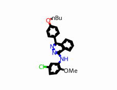 CCCCOc1ccc(-c2nnc(Nc3cc(Cl)ccc3OC)c3ccccc23)cc1